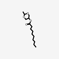 CCCCCCCCCC(=O)OC1COC(C)OC1